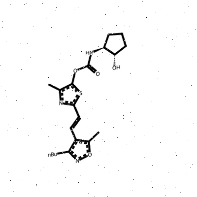 CCCCc1noc(C)c1/C=C/c1nc(C)c(OC(=O)N[C@H]2CCC[C@@H]2O)s1